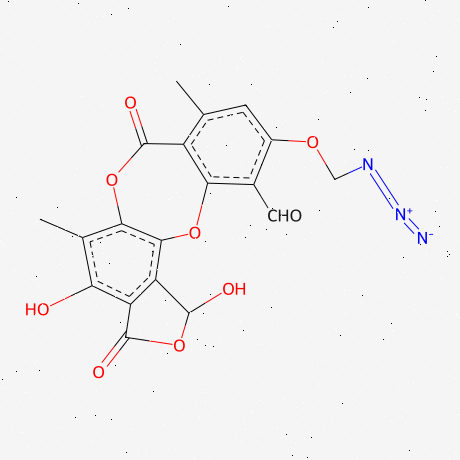 Cc1cc(OCN=[N+]=[N-])c(C=O)c2c1C(=O)Oc1c(C)c(O)c3c(c1O2)C(O)OC3=O